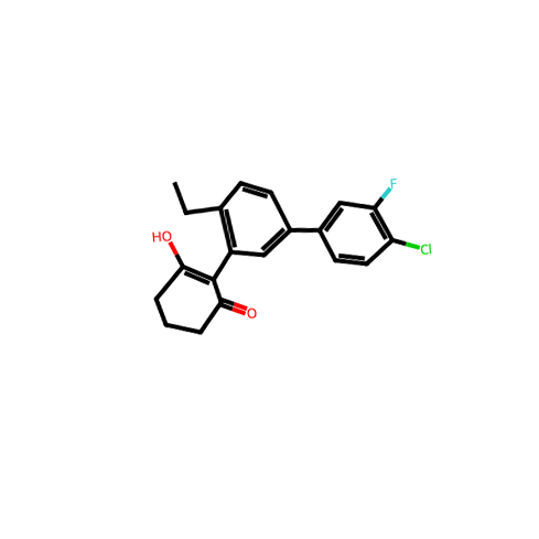 CCc1ccc(-c2ccc(Cl)c(F)c2)cc1C1=C(O)CCCC1=O